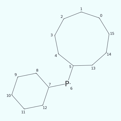 C1CCCCC([P]C2CCCCC2)CCC1